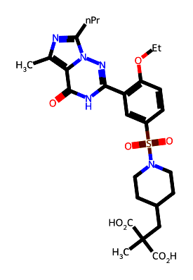 CCCc1nc(C)c2c(=O)[nH]c(-c3cc(S(=O)(=O)N4CCC(CC(C)(C(=O)O)C(=O)O)CC4)ccc3OCC)nn12